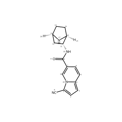 N#Cc1ccc2ccc(C(=O)N[C@@H]3C[C@H]4CC[C@@H]3N4)cn12